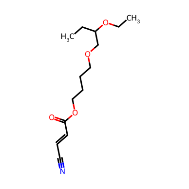 CCOC(CC)COCCCCOC(=O)C=CC#N